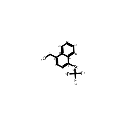 [O]Cc1ccc([Se]C(F)(F)F)c2ccccc12